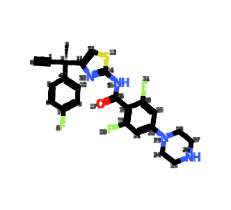 C#C[C@](C)(c1ccc(F)cc1)c1csc(NC(=O)c2c(F)cc(N3CCNCC3)cc2F)n1